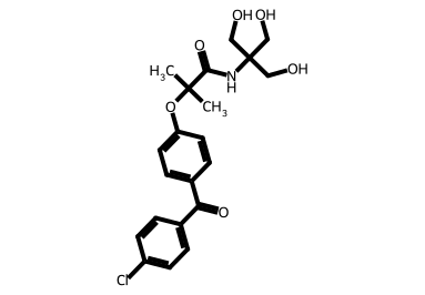 CC(C)(Oc1ccc(C(=O)c2ccc(Cl)cc2)cc1)C(=O)NC(CO)(CO)CO